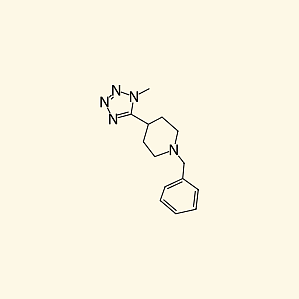 Cn1nnnc1C1CCN(Cc2ccccc2)CC1